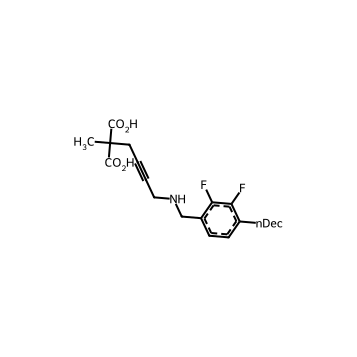 CCCCCCCCCCc1ccc(CNCC#CCC(C)(C(=O)O)C(=O)O)c(F)c1F